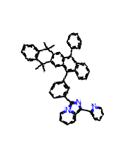 CC1(C)c2ccccc2C(C)(C)c2cc3c(-c4cccc(-c5nc(-c6ccccn6)c6ccccn56)c4)c4ccccc4c(-c4ccccc4)c3cc21